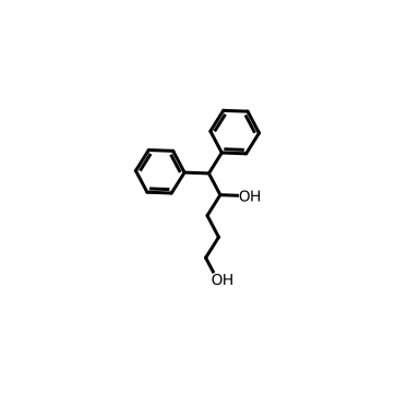 OCCCC(O)C(c1ccccc1)c1ccccc1